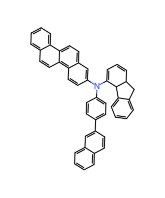 C1=CC2Cc3ccccc3C2C(N(c2ccc(-c3ccc4ccccc4c3)cc2)c2ccc3c(ccc4c5ccccc5ccc34)c2)=C1